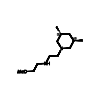 COCCNCCN1C[C@H](C)C[C@@H](C)C1